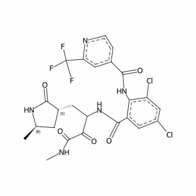 CNC(=O)C(=O)C(C[C@@H]1C[C@@H](C)NC1=O)NC(=O)c1cc(Cl)cc(Cl)c1NC(=O)c1ccnc(C(F)(F)F)c1